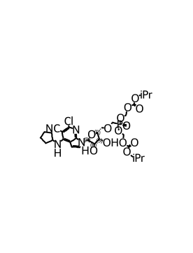 CC(C)OC(=O)OCOP(=O)(COC[C@H]1O[C@@H](n2ccc3c(NC4CCCC4)c(C#N)c(Cl)nc32)[C@H](O)[C@@H]1O)OCOC(=O)OC(C)C